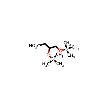 C[Si](C)(C)OCC(CC(=O)O)O[Si](C)(C)C